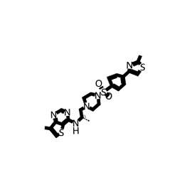 Cc1nc(-c2ccc(S(=O)(=O)N3CCN(C[C@H](C)Nc4ncnc5c(C)csc45)CC3)cc2)cs1